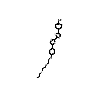 Oc1ccc(-c2csc(-c3nc(-c4ccc(OCCOCCOCCF)cc4)cs3)n2)cc1